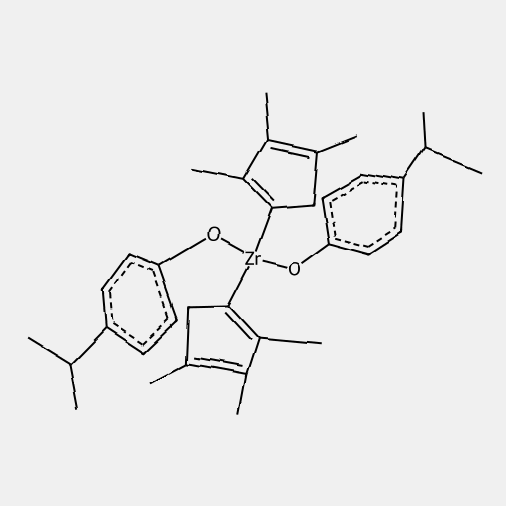 CC1=C(C)C(C)=[C]([Zr]([O]c2ccc(C(C)C)cc2)([O]c2ccc(C(C)C)cc2)[C]2=C(C)C(C)=C(C)C2)C1